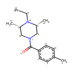 Cc1ccc(C(=O)N2C[C@@H](C)N(CC(C)C)[C@@H](C)C2)cc1